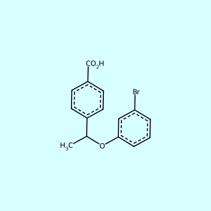 CC(Oc1cccc(Br)c1)c1ccc(C(=O)O)cc1